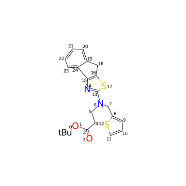 CC(C)(C)OC(=O)CCN(Cc1cccs1)c1nc2c(s1)Cc1ccccc1-2